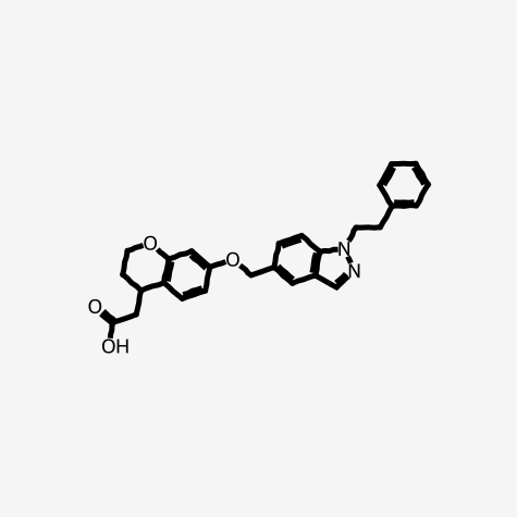 O=C(O)CC1CCOc2cc(OCc3ccc4c(cnn4CCc4ccccc4)c3)ccc21